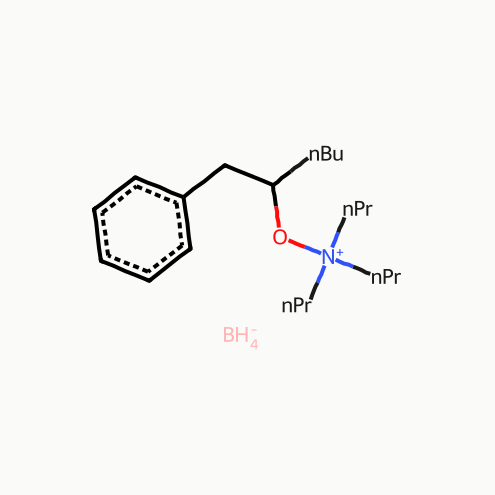 CCCCC(Cc1ccccc1)O[N+](CCC)(CCC)CCC.[BH4-]